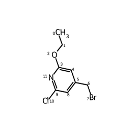 CCOc1cc(CBr)cc(Cl)n1